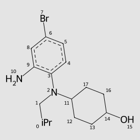 CC(C)CN(c1ccc(Br)cc1N)C1CCC(O)CC1